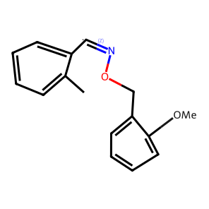 COc1ccccc1CO/N=[C]\c1ccccc1C